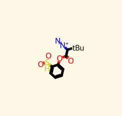 CC(C)(C)C([N+]#N)C(=O)Oc1ccccc1[SH](=O)=O